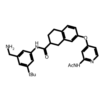 CC(=O)Nc1cc(Oc2ccc3c(c2)CC(C(=O)Nc2cc(CN)cc(C(C)(C)C)c2)CC3)ccn1